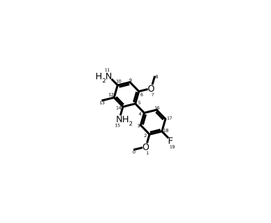 COc1cc(-c2c(OC)cc(N)c(C)c2N)ccc1F